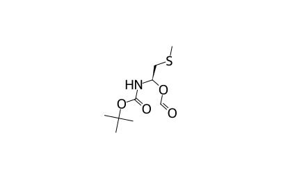 CSC[C@H](NC(=O)OC(C)(C)C)OC=O